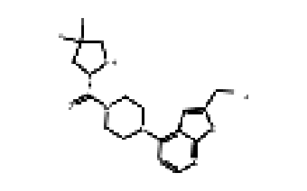 O=C([C@@H]1CC(F)(F)CN1)N1CCN(c2ncnc3sc(CC(F)(F)F)cc23)CC1